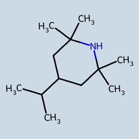 CC(C)C1CC(C)(C)NC(C)(C)C1